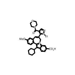 CCn1ncc(C(=O)N2CCOCC2)c1C1=Cc2cc(OC)ccc2-c2c(C3CCCCC3)c3ccc(C(=O)O)cc3n2C1